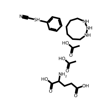 C1CCCNNNCC1.CC(=O)O.CC(=O)O.Cc1ccccc1.N#CS.NC(CCC(=O)O)C(=O)O